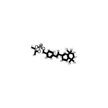 CCOP(=O)(OCC)OCc1ccc(C=C(C)c2ccc3c(c2)C(C)(C)CCC3(C)C)cc1